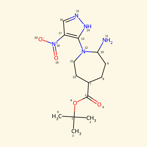 CC(C)(C)OC(=O)C1CCC(N)N(c2[nH]ncc2[N+](=O)[O-])CC1